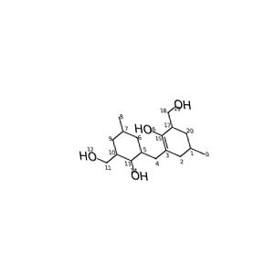 CC1CC(CC2CC(C)CC(CO)C2O)=C(O)C(CO)C1